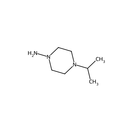 CC(C)N1CCN(N)CC1